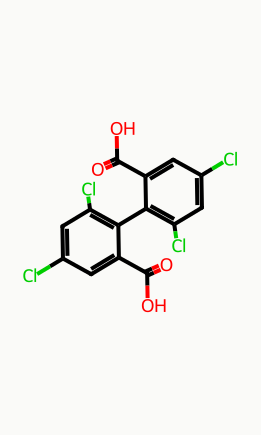 O=C(O)c1cc(Cl)cc(Cl)c1-c1c(Cl)cc(Cl)cc1C(=O)O